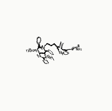 CCCCc1nc(CCCn2c(=O)c3[nH]c(Cl)nc3n(CCCC)c2=O)no1